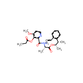 C=Cc1ccccc1[C@H](C)[C@H](C)OC(=O)[C@H](C)NC(=O)c1nccc(OC)c1OC(=O)CC